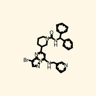 O=C(NC(c1ccccc1)c1ccccc1)N1CCCC(c2cc(NCc3cccnc3)n3ncc(Br)c3n2)C1